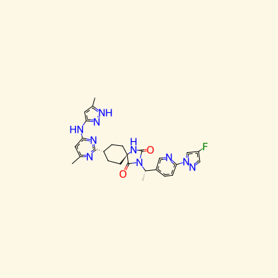 Cc1cc(Nc2cc(C)[nH]n2)nc([C@H]2CC[C@@]3(CC2)NC(=O)N([C@@H](C)c2ccc(-n4cc(F)cn4)nc2)C3=O)n1